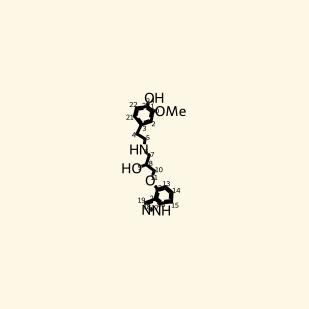 COc1cc(CCNCC(O)COc2cccc3[nH]ncc23)ccc1O